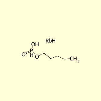 CCCCCO[PH](=O)O.[RbH]